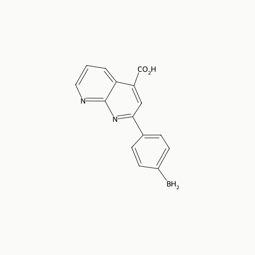 Bc1ccc(-c2cc(C(=O)O)c3cccnc3n2)cc1